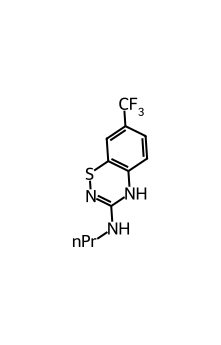 CCCNC1=NSc2cc(C(F)(F)F)ccc2N1